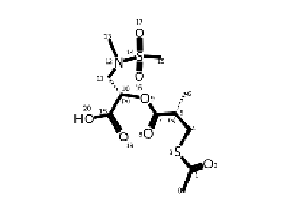 CC(=O)SC[C@@H](C)C(=O)O[C@@H](CN(C)S(C)(=O)=O)C(=O)O